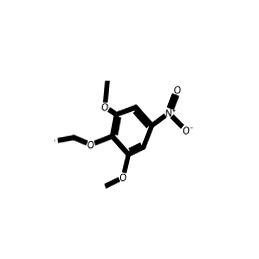 [CH2]COc1c(OC)cc([N+](=O)[O-])cc1OC